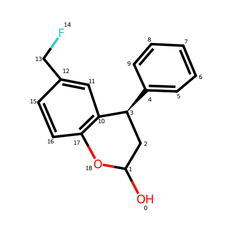 OC1C[C@H](c2ccccc2)c2cc(CF)ccc2O1